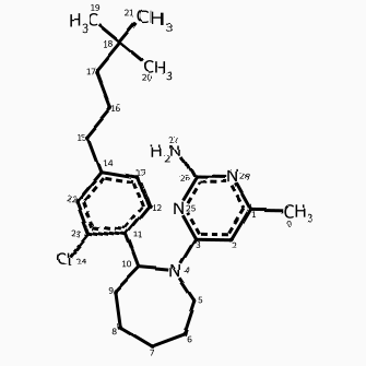 Cc1cc(N2CCCCCC2c2ccc(CCCC(C)(C)C)cc2Cl)nc(N)n1